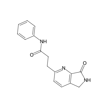 O=C(CCc1ccc2c(n1)C(=O)NC2)Nc1ccccc1